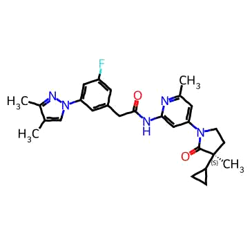 Cc1cc(N2CC[C@@](C)(C3CC3)C2=O)cc(NC(=O)Cc2cc(F)cc(-n3cc(C)c(C)n3)c2)n1